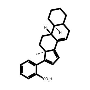 C[C@]12CC[C@H]3C(=CCC4CCCC[C@@H]43)C1=CC=C2c1ccccc1C(=O)O